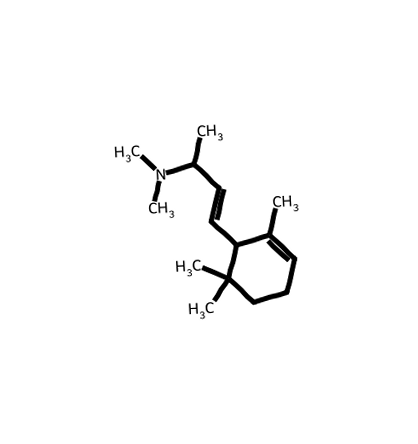 CC1=CCCC(C)(C)C1C=CC(C)N(C)C